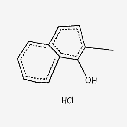 Cc1ccc2ccccc2c1O.Cl